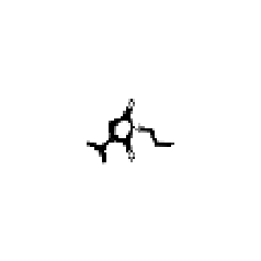 CCCN1C(=O)CC(C(C)C)C1=O